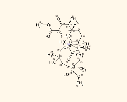 COC(=O)C1=C[C@]2(C)/C(=C/C(C)=O)[C@](C)([C@@]3(C)CCCC(C)(C)CC[C@](C)(C(=O)OC)CC3)CC[C@H]2[C@H](C)C1=O